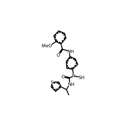 COc1ccccc1C(=O)Nc1ccc(N(S)C(=O)NC(C)c2ccsc2)cc1